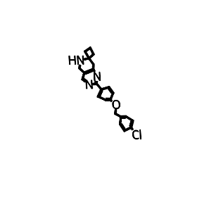 Clc1ccc(COc2ccc(-c3ncc4c(n3)CC3(CCC3)NC4)cc2)cc1